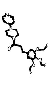 O=C(CCc1cc(OCF)c(OCF)c(OCF)c1)N1CCN(c2ccncc2)CC1